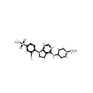 CS(=O)(=O)c1ccc(N2CCc3c(OC4CCN(C(=O)O)CC4)ncnc32)c(F)c1